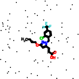 CCCCOc1cc(C=CC(=O)O)n(Cc2ccc(C(F)(F)F)cc2Cl)n1